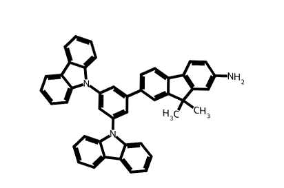 CC1(C)c2cc(N)ccc2-c2ccc(-c3cc(-n4c5ccccc5c5ccccc54)cc(-n4c5ccccc5c5ccccc54)c3)cc21